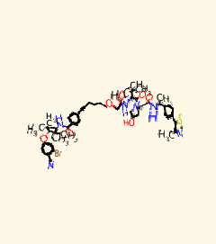 Cc1ncsc1-c1ccc([C@H](C)NC(=O)[C@H]2C[C@@H](O)CN2C(=O)[C@@H](NC(=O)COCCCCC#Cc2ccc(C(=O)N[C@H]3C(C)(C)[C@H](Oc4ccc(C#N)c(Br)c4)C3(C)C)cc2)C(C)(C)C)cc1